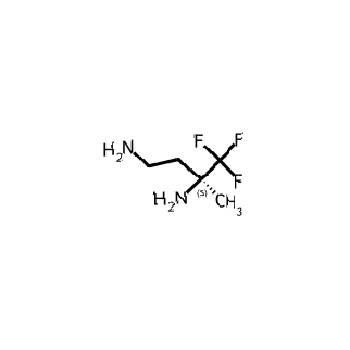 C[C@](N)(CCN)C(F)(F)F